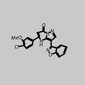 COc1cc(-c2cc(=O)n3ncc(-c4noc5ccccc45)c3[nH]2)ccc1Cl